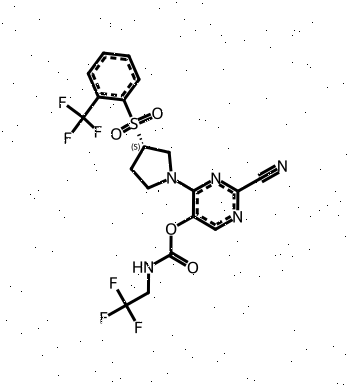 N#Cc1ncc(OC(=O)NCC(F)(F)F)c(N2CC[C@H](S(=O)(=O)c3ccccc3C(F)(F)F)C2)n1